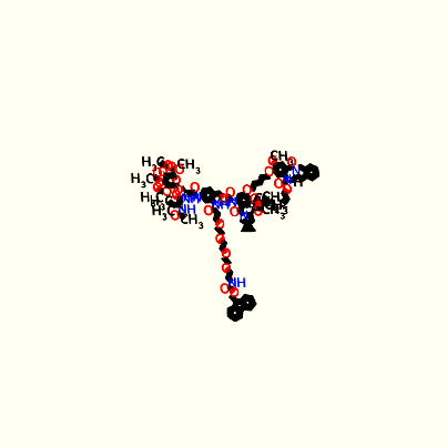 C=CCOC(=O)N1C[C@@H]2Cc3ccccc3CN2C(=O)c2cc(OC)c(OCCCCCOc3cc(NC(=O)OCc4ccc(NC(=O)[C@H](CO[C@@H]5O[C@H](C(=O)OC)[C@@H](OC(C)=O)[C@H](OC(C)=O)[C@H]5OC(C)=O)NC(=O)[C@@H](NC(C)=O)C(C)C)cc4NC(=O)CCOCCOCCOCCOCCNC(=O)OCC4c5ccccc5-c5ccccc54)c(C(=O)N4CC5(CC5)C[C@H]4CO[Si](C)(C)C(C)(C)C)cc3OC)cc21